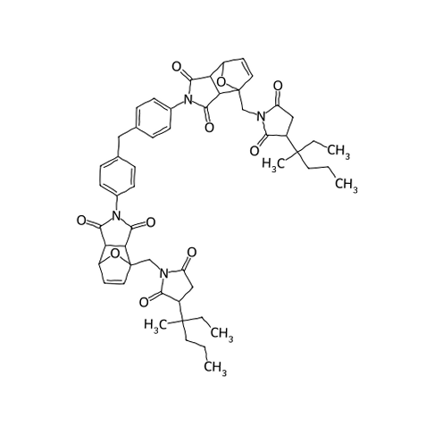 CCCC(C)(CC)C1CC(=O)N(CC23C=CC(O2)C2C(=O)N(c4ccc(Cc5ccc(N6C(=O)C7C8C=CC(CN9C(=O)CC(C(C)(CC)CCC)C9=O)(O8)C7C6=O)cc5)cc4)C(=O)C23)C1=O